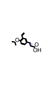 C=Cc1cc(/C=C/C(=O)O)ccc1OC(C)C